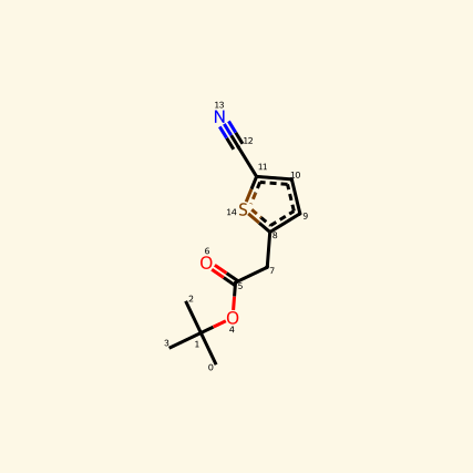 CC(C)(C)OC(=O)Cc1ccc(C#N)s1